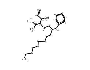 CCCCCCCCCC(COC(C(C)O)C(O)[C]=O)Oc1ccccc1